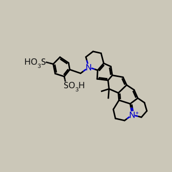 CC1(C)c2cc3c(cc2C=c2cc4c5c(c21)CCC[N+]=5CCC4)CCCN3Cc1ccc(S(=O)(=O)O)cc1S(=O)(=O)O